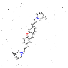 CCN(CC)CC=Cc1ccc2c(c1)Cc1ccc(C=CCN(CC)CC)cc1O2